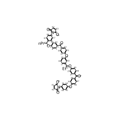 CCCC(Oc1ccc(C(=O)c2ccc(Oc3cccc(C(CC)Oc4ccc(C(=O)c5ccc(Oc6ccc(N7C(=O)C=CC7=O)cc6)cc5)cc4)c3)cc2)cc1)c1ccc(N2C(=O)C=CC2=O)cc1